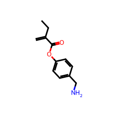 C=C(CC)C(=O)Oc1ccc(CN)cc1